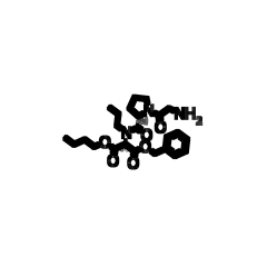 CCCCOC(=O)[C@@H](C(=O)OCc1ccccc1)N(CCC)C(=O)[C@@H]1CCCN1C(=O)CN